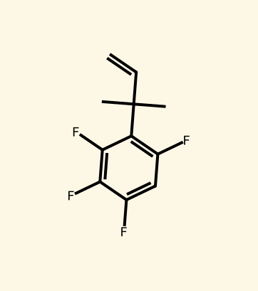 C=CC(C)(C)c1c(F)cc(F)c(F)c1F